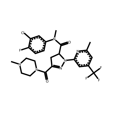 Cc1cc(C(F)(F)F)cc(N2N=C(C(=O)N3CCN(C)CC3)CC2C(=O)N(C)c2ccc(F)c(Cl)c2)n1